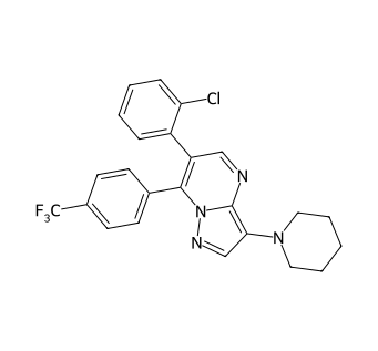 FC(F)(F)c1ccc(-c2c(-c3ccccc3Cl)cnc3c(N4CCCCC4)cnn23)cc1